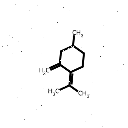 C=C1CC(C)CCC1=C(C)C